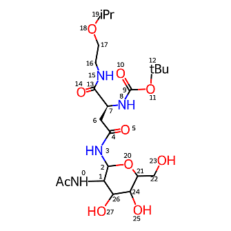 CC(=O)NC1C(NC(=O)C[C@H](NC(=O)OC(C)(C)C)C(=O)NCCOC(C)C)OC(CO)C(O)C1O